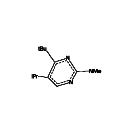 CNc1ncc(C(C)C)c(C(C)(C)C)n1